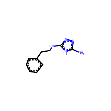 Nc1nnc(NCCc2ccccc2)[nH]1